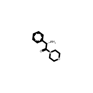 N[C@H](C(=O)N1CCOCC1)c1ccccc1